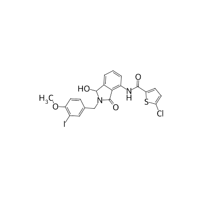 COc1ccc(CN2C(=O)c3c(NC(=O)c4ccc(Cl)s4)cccc3C2O)cc1I